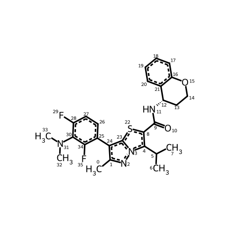 Cc1nn2c(C(C)C)c(C(=O)N[C@H]3CCOc4ccccc43)sc2c1-c1ccc(F)c(N(C)C)c1F